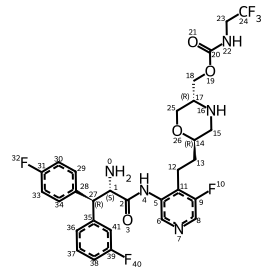 N[C@H](C(=O)Nc1cncc(F)c1CC[C@@H]1CN[C@@H](COC(=O)NCC(F)(F)F)CO1)[C@H](c1ccc(F)cc1)c1cccc(F)c1